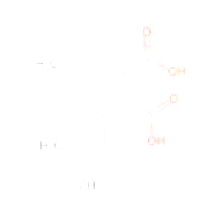 CC(C)=CC1C=C(C)CC(C(=O)O)C1C(=O)O